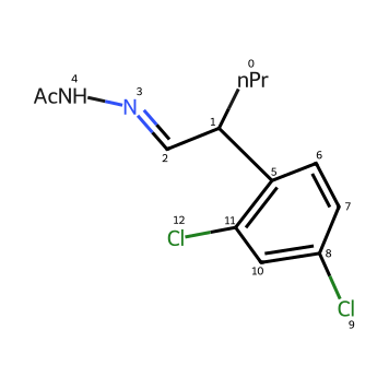 CCCC(C=NNC(C)=O)c1ccc(Cl)cc1Cl